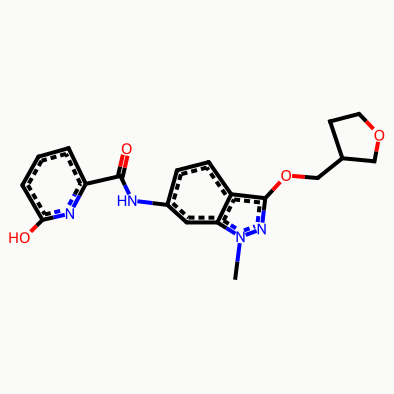 Cn1nc(OCC2CCOC2)c2ccc(NC(=O)c3cccc(O)n3)cc21